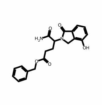 NC(=O)C(CCC(=O)OCc1ccccc1)N1Cc2c(O)cccc2C1=O